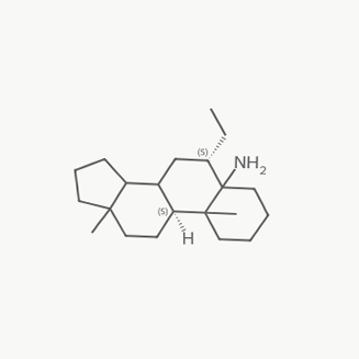 CC[C@H]1CC2C3CCCC3(C)CC[C@@H]2C2(C)CCCCC12N